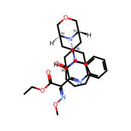 CCOC(=O)C(=NOC)c1nc2ccccc2n(C2C[C@H]3COC[C@H](C2)N3[C@@H]2CC3CCCC[C@H](C3)C2)c1=O